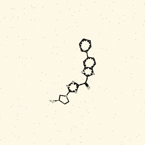 C[C@@H]1CCN(c2nnc(C(=O)c3nc4ccc(-c5ccccc5)cc4s3)o2)C1